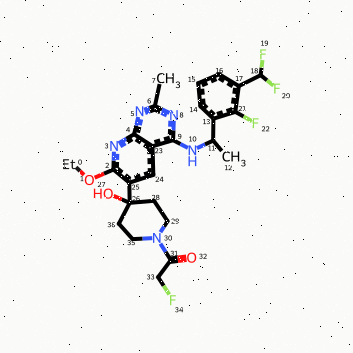 CCOc1nc2nc(C)nc(NC(C)c3cccc(C(F)F)c3F)c2cc1C1(O)CCN(C(=O)CF)CC1